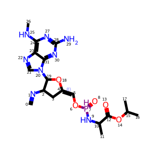 C=NC1C/C(=C\O[PH](=O)NC(C)C(=O)OC(C)C)OC1n1cnc2c(NC)nc(N)nc21